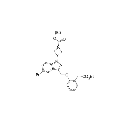 CCOC(=O)Cc1ccccc1OCc1nn(C2CN(C(=O)OC(C)(C)C)C2)c2ccc(Br)cc12